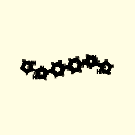 c1cc(-c2c[nH]c([C@@H]3CCCN3)n2)ccc1-c1ccc(-c2cnc(C3CCCN3)s2)cc1